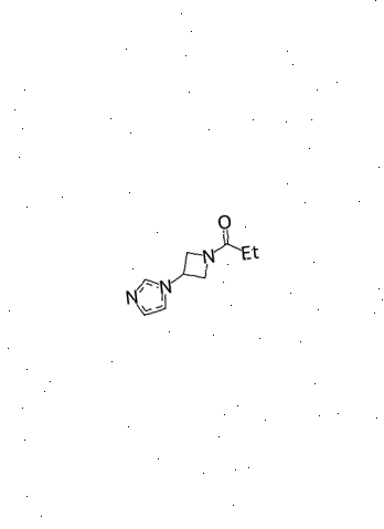 CCC(=O)N1CC(n2ccnc2)C1